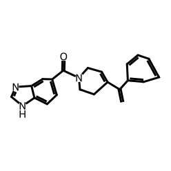 C=C(C1=CCN(C(=O)c2ccc3[nH]cnc3c2)CC1)c1ccccc1